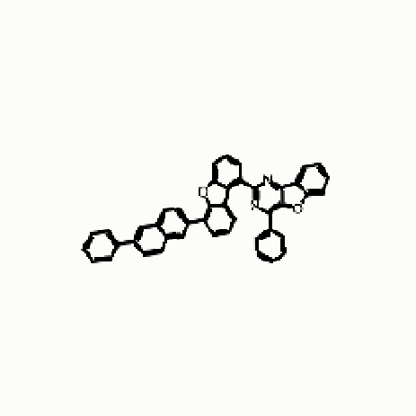 c1ccc(-c2ccc3cc(-c4cccc5c4oc4cccc(-c6nc(-c7ccccc7)c7oc8ccccc8c7n6)c45)ccc3c2)cc1